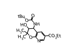 CCOC(=O)c1cnc2c(c1)C(NC(=O)OC(C)(C)C)C(O)C(C)(C)O2